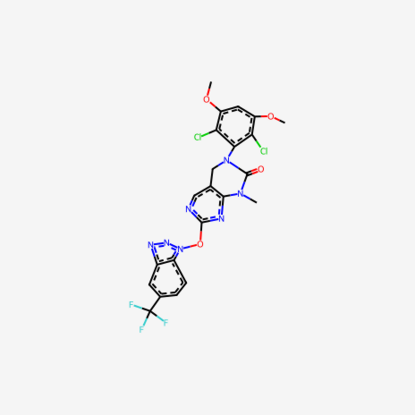 COc1cc(OC)c(Cl)c(N2Cc3cnc(On4nnc5cc(C(F)(F)F)ccc54)nc3N(C)C2=O)c1Cl